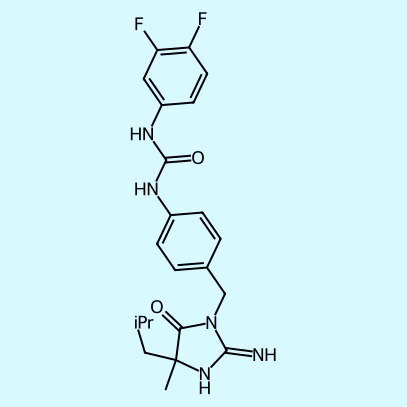 CC(C)CC1(C)NC(=N)N(Cc2ccc(NC(=O)Nc3ccc(F)c(F)c3)cc2)C1=O